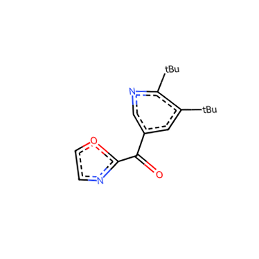 CC(C)(C)c1cc(C(=O)c2ncco2)cnc1C(C)(C)C